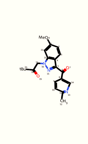 COc1ccc2c(C(=O)c3ccc(C)nc3)nn(CC(=O)C(C)(C)C)c2c1